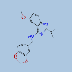 COc1ccc2nc(C(C)C)nc(NCc3ccc4c(c3)OCO4)c2c1